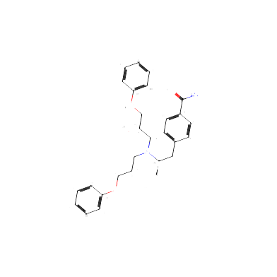 C[C@H](Cc1ccc(C(N)=O)cc1)N(C[C@H](O)COc1ccccc1)C[C@H](O)COc1ccccc1